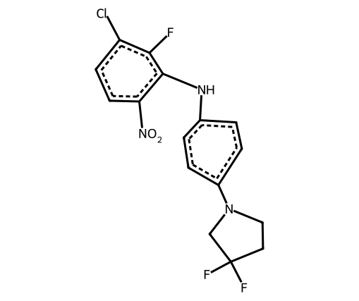 O=[N+]([O-])c1ccc(Cl)c(F)c1Nc1ccc(N2CCC(F)(F)C2)cc1